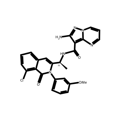 COc1cccc(-n2c([C@H](C)NC(=O)c3c(N)nn4cccnc34)cc3cccc(Cl)c3c2=O)c1